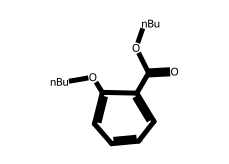 CCCCOC(=O)c1c[c]ccc1OCCCC